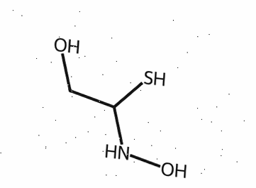 OCC(S)NO